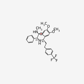 CNC(=O)[C@@H](N[C@H](CCc1ccc(C(F)(F)F)cc1)c1ccc(OC)c(OC)c1)c1ccccc1